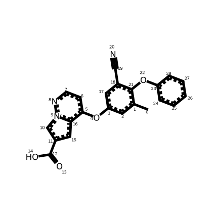 Cc1cc(Oc2ccnn3cc(C(=O)O)cc23)cc(C#N)c1Oc1ccccc1